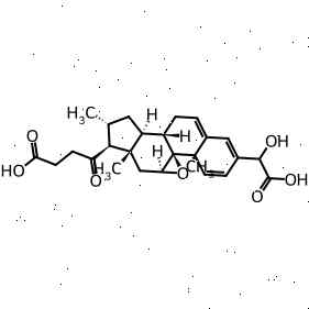 C[C@@H]1C[C@H]2[C@@H]3CC=C4C=C(C(O)C(=O)O)C=C[C@]4(C)[C@@]34O[C@H]4C[C@]2(C)[C@H]1C(=O)CCC(=O)O